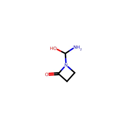 NC(O)N1CCC1=O